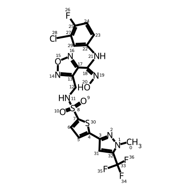 Cn1nc(-c2ccc(S(=O)(=O)NCc3nonc3/C(=N\O)Nc3ccc(F)c(Cl)c3)s2)cc1C(F)(F)F